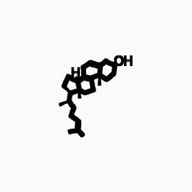 CC(C)=CCC[C@@H](C)[C@H]1CC[C@H]2C3=C(CC[C@]12C)[C@@]1(C)CCC(O)CC1=CC3